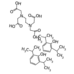 CC(C)c1cccc(C(C)C)c1O.CC(C)c1cccc(C(C)C)c1O.O=C(O)CN(CCN(CC(=O)O)CC(=O)O)CC(=O)O